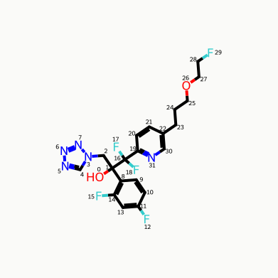 OC(Cn1cnnn1)(c1ccc(F)cc1F)C(F)(F)c1ccc(CCCOCCF)cn1